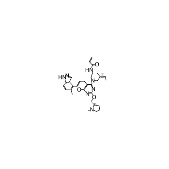 C=CC(=O)NCCN(C/C(C)=C\C)c1nc(OC[C@@H]2CCCN2C)nc2c1CC=C(c1c(C)ccc3[nH]ncc13)O2